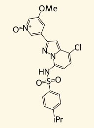 COc1cc(-c2cc3c(Cl)ccc(NS(=O)(=O)c4ccc(C(C)C)cc4)n3n2)c[n+]([O-])c1